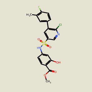 COC(=O)c1ccc(NS(=O)(=O)c2cnc(Cl)c(-c3ccc(F)c(C)c3)c2)cc1O